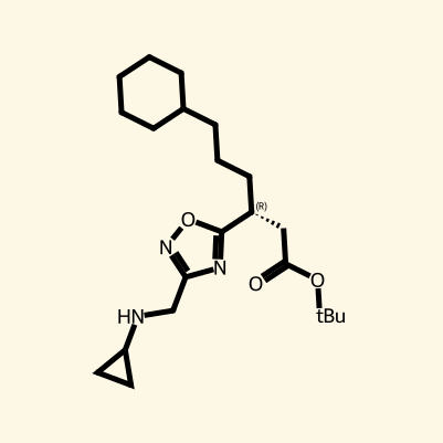 CC(C)(C)OC(=O)C[C@@H](CCCC1CCCCC1)c1nc(CNC2CC2)no1